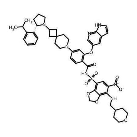 CC(C)c1ccccc1[C@@H]1CCCN1C1CC2(CCN(c3ccc(C(=O)NS(=O)(=O)c4cc([N+](=O)[O-])c(NCC5CCOCC5)c5c4OCO5)c(Oc4cnc5[nH]ccc5c4)c3)CC2)C1